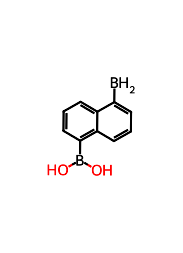 Bc1cccc2c(B(O)O)cccc12